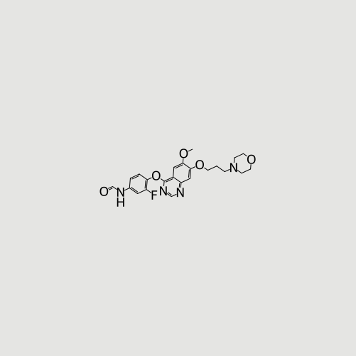 COc1cc2c(Oc3ccc(NC=O)cc3F)ncnc2cc1OCCCN1CCOCC1